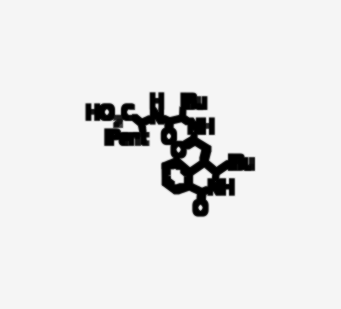 CCCC(C)C(NC(=O)C(NC(=O)/C=C1\c2ccccc2C(=O)NC1C(C)CC)C(C)CC)C(=O)O